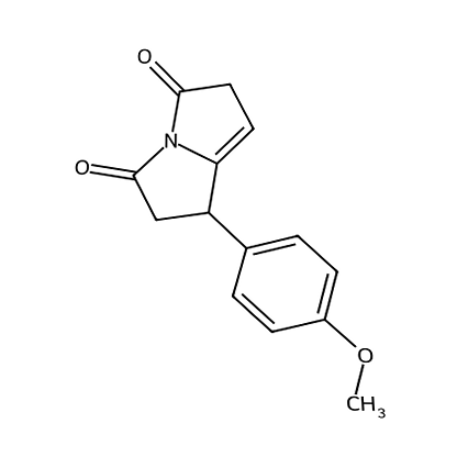 COc1ccc(C2CC(=O)N3C(=O)CC=C23)cc1